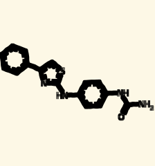 NC(=O)Nc1ccc(Nc2nc(-c3ccccc3)cs2)cc1